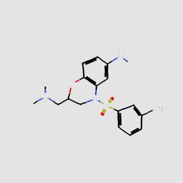 CN(C)CC1CN(S(=O)(=O)c2cccc(C#N)c2)c2cc(NC(=O)O)ccc2O1